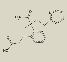 CC(CCc1ccccn1)(C(N)=O)c1ccccc1CCC(=O)O